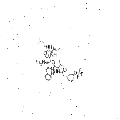 CC[C@H](C)[C@H](NC(=O)C[C@H](N)[C@H](Cc1ccccc1)NC(=O)C(NC(=O)Cc1cccc(OC(F)(F)F)c1)C(C)C)C(=O)NCCC(C)C